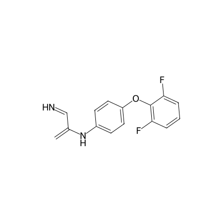 C=C(C=N)Nc1ccc(Oc2c(F)cccc2F)cc1